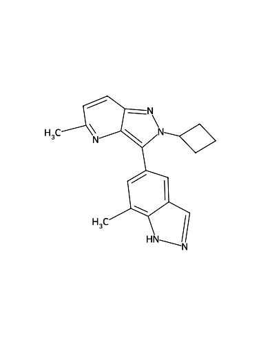 Cc1ccc2nn(C3CCC3)c(-c3cc(C)c4[nH]ncc4c3)c2n1